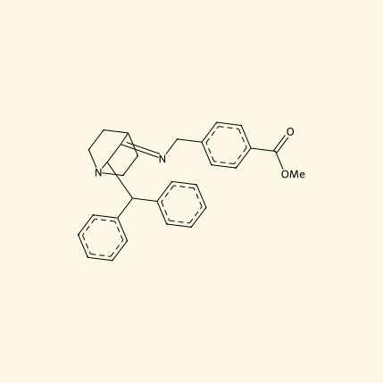 COC(=O)c1ccc(CN=C2C3CCN(CC3)C2C(c2ccccc2)c2ccccc2)cc1